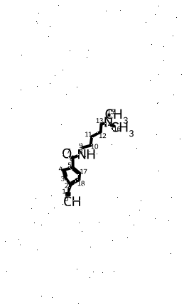 C#Cc1ccc(C(=O)NCCCCCN(C)C)cc1